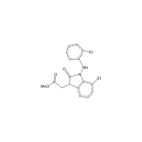 CCc1ccccc1NN1C(=O)C(CC(=O)OC)c2cccc(CC)c21